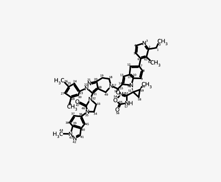 CCc1nccc(-c2ccc3c(c2)cc(C(=O)N2CCc4nn(-c5cc(C)cc(C)c5)c(N5CCN(c6ccc7c(cnn7C)c6)C5=O)c4C2)n3[C@@]2(c3noc(=O)[nH]3)C[C@@H]2C)c1C